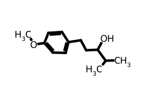 COc1ccc(CCC(O)C(C)C)cc1